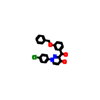 O=C(c1cccc(OCc2ccccc2)c1)c1nn(-c2ccc(Cl)cc2)ccc1=O